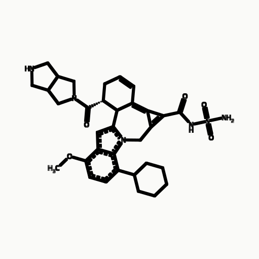 COc1ccc(C2CCCCC2)c2c1cc1n2CC2=C(C(=O)NS(N)(=O)=O)C2=C2C=CC[C@@H](C(=O)N3CC4CNCC4C3)C21